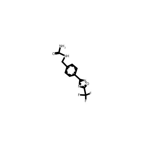 NC(=O)NCc1ccc(-c2noc(C(F)(F)F)n2)cc1